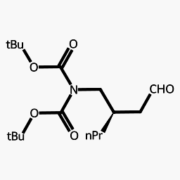 CCC[C@H](CC=O)CN(C(=O)OC(C)(C)C)C(=O)OC(C)(C)C